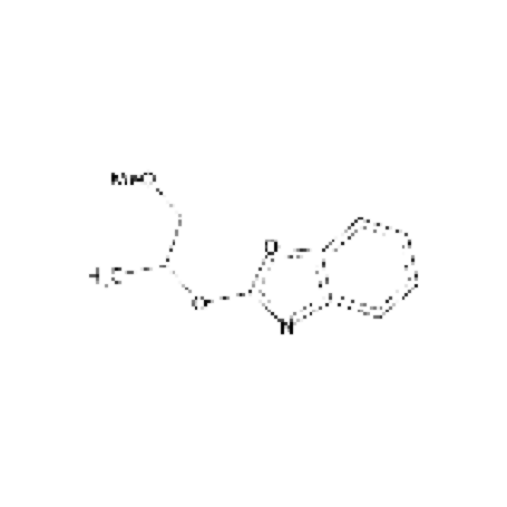 COCC(C)Oc1nc2ccccc2o1